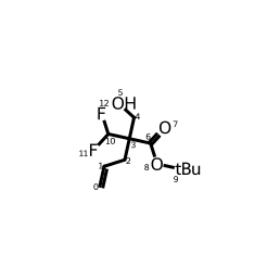 C=CCC(CO)(C(=O)OC(C)(C)C)C(F)F